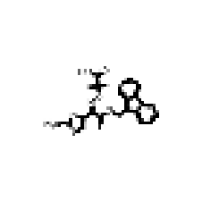 CC(C)(ON=C(C(=O)OCC1c2ccccc2-c2ccccc21)c1csc(N)n1)C(=O)O